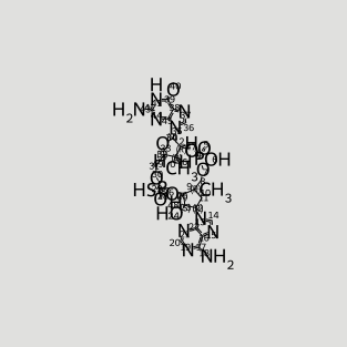 C[C@H]1[C@H]2OP(=O)(O)OC[C@@]3(C)C[C@@H](n4cnc5c(N)ncnc54)[C@H](O)[C@@H]3O[P@@](=O)(S)OC[C@H]1O[C@H]2n1cnc2c(=O)[nH]c(N)nc21